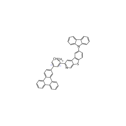 C/C=C(\C=C(/C)c1cc2c(cn1)sc1ccc(-n3c4ccccc4c4ccccc43)cc12)c1ccc2c3ccccc3c3ccccc3c2c1